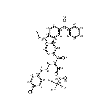 CCn1c2ccc(C(=O)/C(CCSc3ccc(Cl)cc3)=N/OS(=O)C(F)(F)F)cc2c2cc(C(=O)c3ccccc3)ccc21